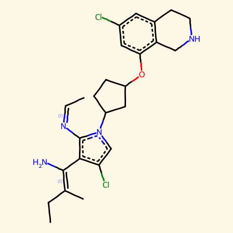 C/C=N\c1c(/C(N)=C(\C)CC)c(Cl)cn1C1CCC(Oc2cc(Cl)cc3c2CNCC3)C1